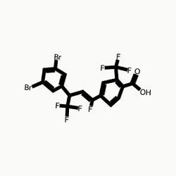 O=C(O)c1ccc(C(F)=CC(c2cc(Br)cc(Br)c2)C(F)(F)F)cc1C(F)(F)F